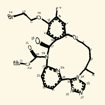 CC1CCCOc2cc(F)c(OCCBr)cc2C(=O)N(C(=O)OC(C)(C)C)c2cccc(n2)-c2nncn21